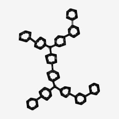 c1ccc(-c2ccc(N(c3ccc(-c4ccc(N(c5ccc(-c6ccccc6)cc5)c5ccc(-c6cccc(-c7ccccc7)c6)cc5)cc4)cc3)c3ccc(-c4cccc(-c5ccccc5)c4)cc3)cc2)cc1